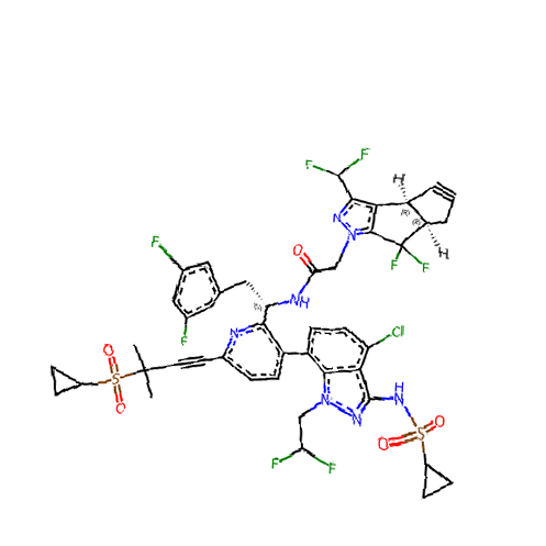 CC(C)(C#Cc1ccc(-c2ccc(Cl)c3c(NS(=O)(=O)C4CC4)nn(CC(F)F)c23)c([C@H](Cc2cc(F)cc(F)c2)NC(=O)Cn2nc(C(F)F)c3c2C(F)(F)[C@@H]2CC#C[C@H]32)n1)S(=O)(=O)C1CC1